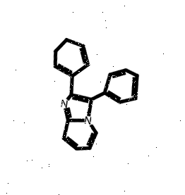 C1=CC(c2nc3ccccn3c2-c2ccccc2)=CCC1